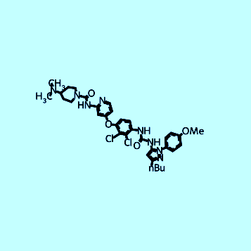 CCCCc1cc(NC(=O)Nc2ccc(Oc3ccnc(NC(=O)N4CCC(N(C)C)CC4)c3)c(Cl)c2Cl)n(-c2ccc(OC)cc2)n1